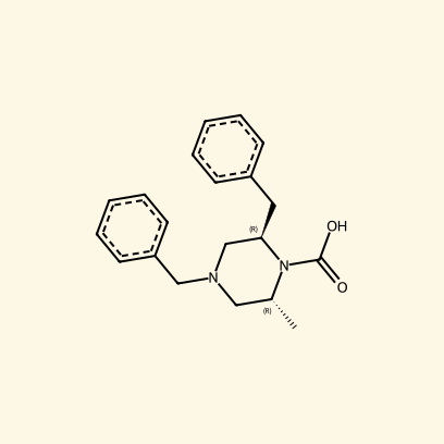 C[C@@H]1CN(Cc2ccccc2)C[C@@H](Cc2ccccc2)N1C(=O)O